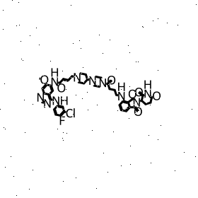 COc1cc2ncnc(Nc3ccc(F)c(Cl)c3)c2cc1NC(=O)/C=C/CN1CCC(N2CCN(C(=O)CCCNc3cccc4c3C(=O)N(C3CCC(=O)NC3=O)C4=O)CC2)CC1